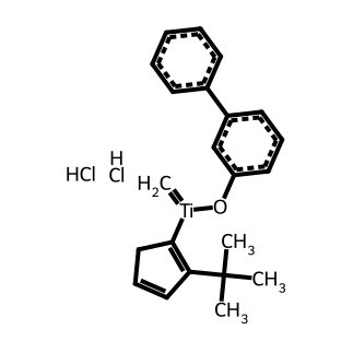 Cl.Cl.[CH2]=[Ti]([O]c1cccc(-c2ccccc2)c1)[C]1=C(C(C)(C)C)C=CC1